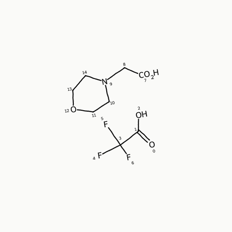 O=C(O)C(F)(F)F.O=C(O)CN1CCOCC1